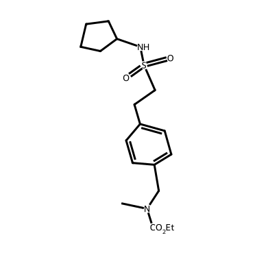 CCOC(=O)N(C)Cc1ccc(CCS(=O)(=O)NC2CCCC2)cc1